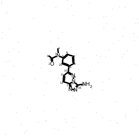 CC(=O)N(C)c1cccc(-c2ccc3nnc(N)n3n2)c1